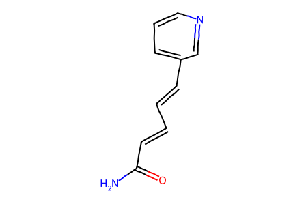 NC(=O)C=CC=Cc1cccnc1